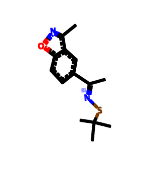 C/C(=N\SC(C)(C)C)c1ccc2onc(C)c2c1